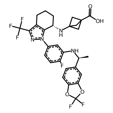 C[C@H](Nc1cc(-n2nc(C(F)(F)F)c3c2[C@@H](NC24CC(C(=O)O)(C2)C4)CCC3)ccc1F)c1ccc2c(c1)OC(F)(F)O2